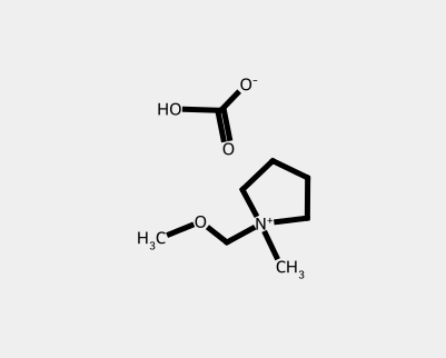 COC[N+]1(C)CCCC1.O=C([O-])O